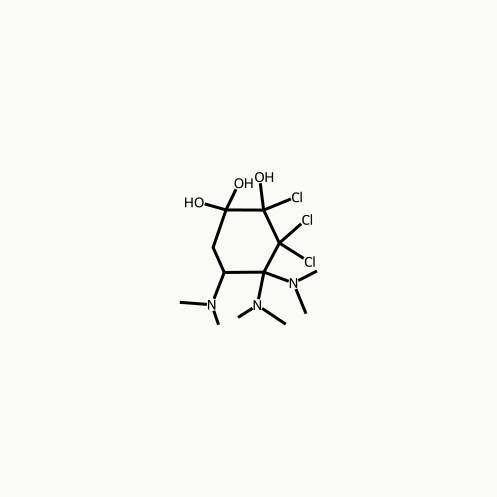 CN(C)C1CC(O)(O)C(O)(Cl)C(Cl)(Cl)C1(N(C)C)N(C)C